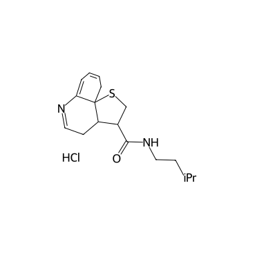 CC(C)CCNC(=O)C1CSC23CC=CC=C2N=CCC13.Cl